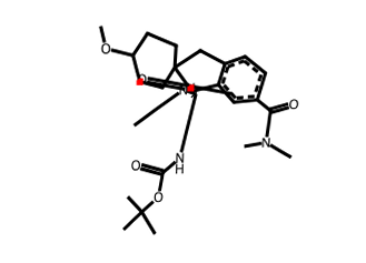 COC1CCC2(CC1)Cc1ccc(C(=O)N(C)C)cc1C21N=C(NC(=O)OC(C)(C)C)N(C)C1=O